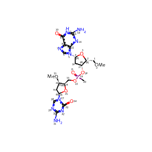 COC[C@H]1O[C@@H](n2cnc3c(=O)[nH]c(N)nc32)C[C@H]1OP(C)(=O)OC[C@H]1O[C@@H](n2cnc(N)nc2=O)C[C@H]1OC